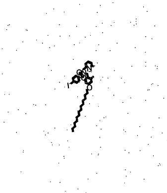 CCCCCCCCCCCCCCCCOc1ccc(CN(Cc2cccc[n+]2C)S(=O)(=O)c2ccc(C)cc2)c(C)c1.[I-]